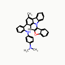 Cc1cc(-c2ccccc2Nc2ccc(N(C)C)cc2)c2c3c1c1ccccc1n3-c1c(oc3ccccc13)B2